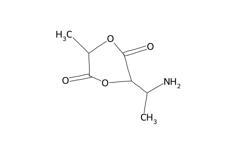 CC1OC(=O)C(C(C)N)OC1=O